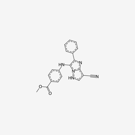 COC(=O)c1ccc(Nc2c(-c3ccccc3)nc3c(C#N)c[nH]n23)cc1